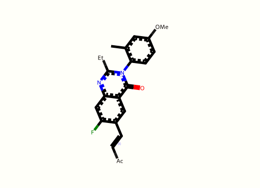 CCc1nc2cc(F)c(/C=C/C(C)=O)cc2c(=O)n1-c1ccc(OC)cc1C